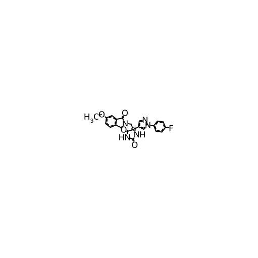 COc1ccc2c(c1)C(=O)N(C[C@@]1(c3cnn(-c4ccc(F)cc4)c3)NC(=O)NC1=O)C2